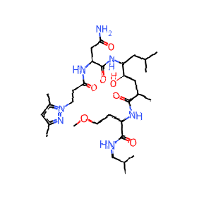 COCCC(NC(=O)C(C)CC(O)C(CC(C)C)NC(=O)C(CC(N)=O)NC(=O)CCn1nc(C)cc1C)C(=O)NCC(C)C